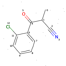 CC(C#N)C(=O)c1ccccc1Cl